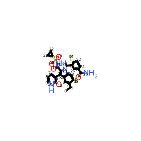 CCc1cc2c(-c3ccc[nH]c3=O)c(C(=O)NS(=O)(=O)C3CC3)n(Cc3cc(C(N)=O)ccc3F)c2cc1F